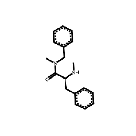 CN[C@@H](Cc1ccccc1)C(=O)N(C)Cc1ccccc1